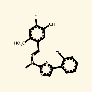 CN(/N=C/c1cc(O)c(F)cc1C(=O)O)c1nc(-c2ccccc2Cl)cs1